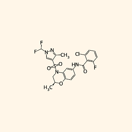 Cc1nn(C(F)F)cc1S(=O)(=O)N1C[C@H](C)Oc2ccc(NC(=O)c3c(F)cccc3Cl)cc21